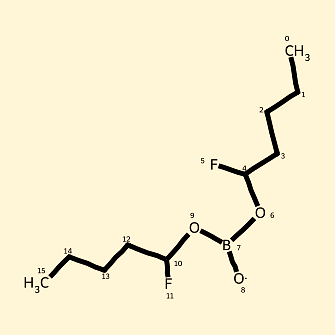 CCCCC(F)OB([O])OC(F)CCCC